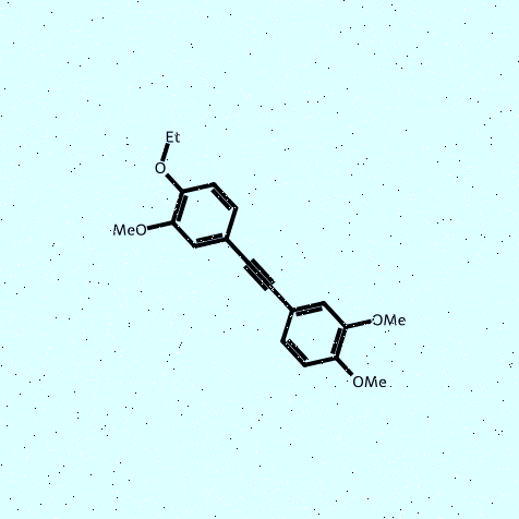 CCOc1ccc(C#Cc2ccc(OC)c(OC)c2)cc1OC